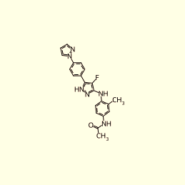 CC(=O)Nc1ccc(Nc2n[nH]c(-c3ccc(-n4cccn4)cc3)c2F)c(C)c1